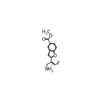 COC(=O)c1ccc2oc(/C(=C\F)CN)cc2c1